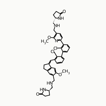 COc1cc2c(cc1CNC[C@H]1CCC(=O)N1)CC/C2=C/c1cccc(-c2cccc(-c3ccc(CNC[C@@H]4CCC(=O)N4)c(OC)n3)c2Cl)c1Cl